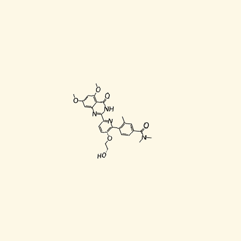 COc1cc(OC)c2c(=O)[nH]c(-c3ccc(OCCO)c(-c4ccc(C(=O)N(C)C)cc4C)n3)nc2c1